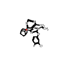 C=Cn1nc(NC2C3CCC2CN(c2cc(C)ncn2)C3)nc1Oc1ccc(F)c(Cl)c1